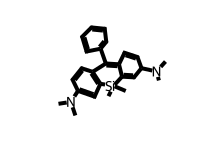 CN(C)c1ccc2c(c1)[Si](C)(C)C1=CC(N(C)C)C=CC1=C2c1ccccc1